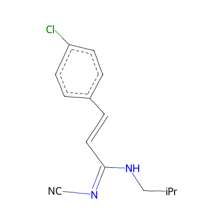 CC(C)CNC(/C=C/c1ccc(Cl)cc1)=N/C#N